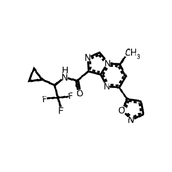 Cc1cc(-c2ccno2)nc2c(C(=O)NC(C3CC3)C(F)(F)F)ncn12